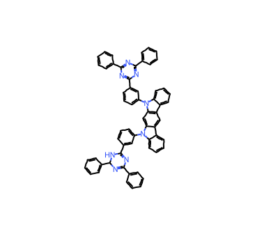 c1ccc(C2=NC(c3ccccc3)NC(c3cccc(-n4c5ccccc5c5cc6c7ccccc7n(-c7cccc(-c8nc(-c9ccccc9)nc(-c9ccccc9)n8)c7)c6cc54)c3)=N2)cc1